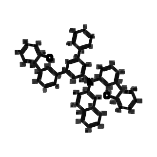 c1ccc(-c2cc(-c3cccc4c3oc3ccccc34)cc(N(c3ccc4ccccc4c3)c3cccc4c3oc3ccccc34)c2)cc1